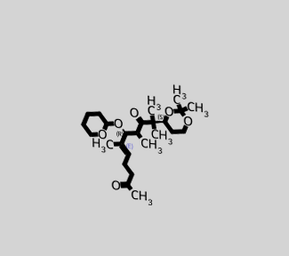 CC(=O)CC/C=C(\C)[C@H](OC1CCCCO1)C(C)C(=O)C(C)(C)[C@@H]1CCOC(C)(C)O1